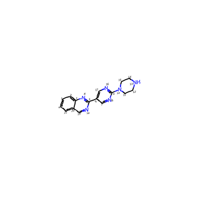 c1ccc2nc(-c3cnc(N4CCNCC4)nc3)ncc2c1